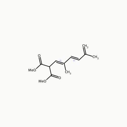 C=C(C)/C=C/C(C)=C/C(C(=O)OC)C(=O)OC